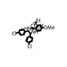 CCOc1cc(OC)ccc1C1(C(=O)O)NC(c2ccc(Cl)cc2)C(c2ccc(Cl)cc2)N1